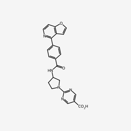 O=C(O)c1cnc(N2CCC(NC(=O)c3ccc(-c4nccc5occc45)cc3)C2)nc1